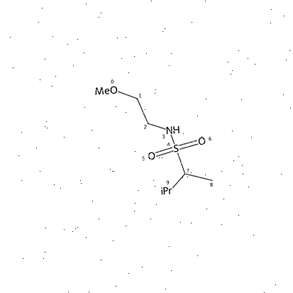 COCCNS(=O)(=O)C(C)C(C)C